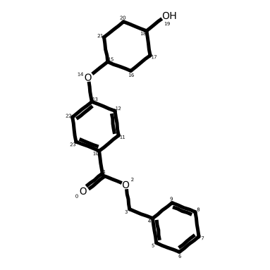 O=C(OCc1ccccc1)c1ccc(OC2CCC(O)CC2)cc1